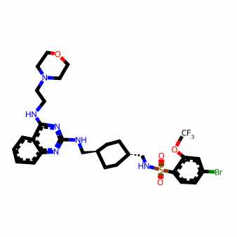 O=S(=O)(NC[C@H]1CC[C@H](CNc2nc(NCCN3CCOCC3)c3ccccc3n2)CC1)c1ccc(Br)cc1OC(F)(F)F